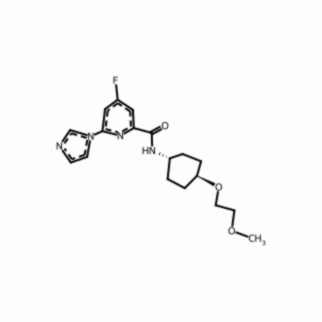 COCCO[C@H]1CC[C@H](NC(=O)c2cc(F)cc(-n3ccnc3)n2)CC1